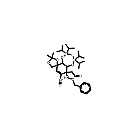 [C-]#[N+]C1=CC2(COC(C)(C)O2)C2O[Si](C(C)C)(C(C)C)O[Si](C(C)C)(C(C)C)OC2C1(CC=O)NOCc1ccccc1